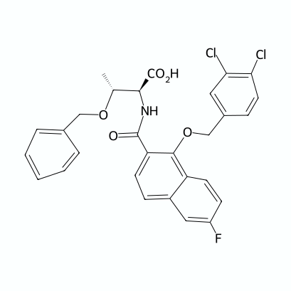 C[C@@H](OCc1ccccc1)[C@H](NC(=O)c1ccc2cc(F)ccc2c1OCc1ccc(Cl)c(Cl)c1)C(=O)O